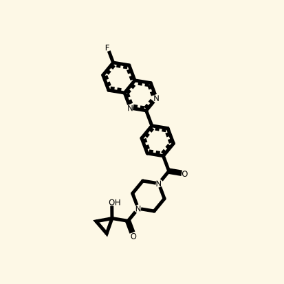 O=C(c1ccc(-c2ncc3cc(F)ccc3n2)cc1)N1CCN(C(=O)C2(O)CC2)CC1